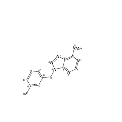 CNc1ncnc2c1nnn2Cc1cccc(F)c1